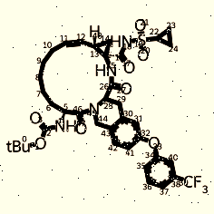 CC(C)(C)OC(=O)N[C@H]1CCCCC/C=C\[C@@H]2C[C@@]2(C(=O)NS(=O)(=O)C2CC2)NC(=O)C2Cc3cc(Oc4cccc(C(F)(F)F)c4)ccc3CN2C1=O